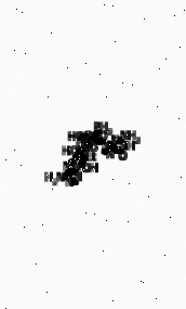 CCC(C(O)n1cnc2c(N)ncnc21)C(C)(O)COP(=O)(O)OC1C(P)OC(n2cnc3c(=O)[nH]c(N)nc32)C1O